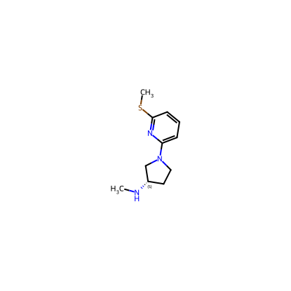 CN[C@H]1CCN(c2cccc(SC)n2)C1